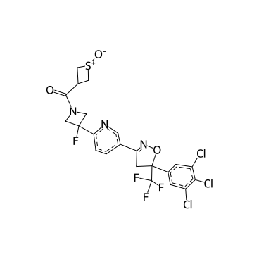 O=C(C1C[S+]([O-])C1)N1CC(F)(c2ccc(C3=NOC(c4cc(Cl)c(Cl)c(Cl)c4)(C(F)(F)F)C3)cn2)C1